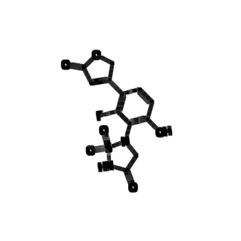 O=C1CN(c2c(O)ccc(C3=CC(=O)OC3)c2F)S(=O)(=O)N1